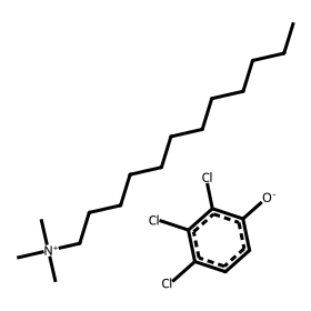 CCCCCCCCCCCC[N+](C)(C)C.[O-]c1ccc(Cl)c(Cl)c1Cl